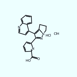 Cl.Cl.O=C(O)c1cccc(-c2nn3c(c2-c2ccnc4ccccc24)CCC3)n1